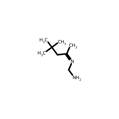 C/C(CC(C)(C)C)=N/CN